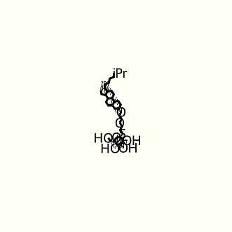 CC(C)CCC[C@@H](C)[C@H]1CCC2C3CC=C4C[C@H](OCCOCCS[C@@H]5O[C@H](CO)[C@@H](O)[C@H](O)[C@@H]5O)CC[C@]4(C)C3CC[C@@]21C